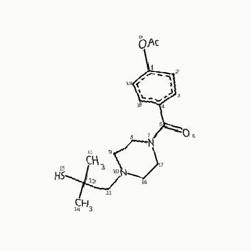 CC(=O)Oc1ccc(C(=O)N2CCN(CC(C)(C)S)CC2)cc1